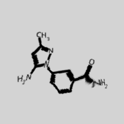 Cc1cc(N)n(-c2cccc(C(N)=O)c2)n1